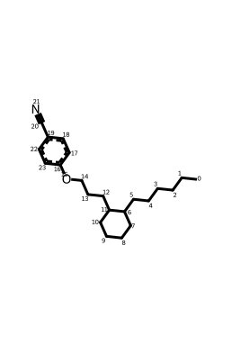 CCCCCCC1CCCCC1CCCOc1ccc(C#N)cc1